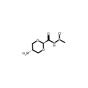 CN(Cl)NC(=O)[C@H]1OC[C@H](N)CO1